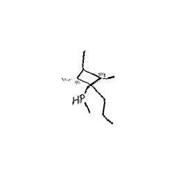 CCCC1(PC)[C@H](C)C(C)[C@H]1C